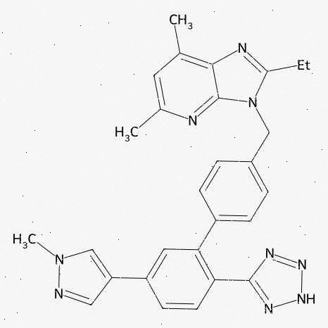 CCc1nc2c(C)cc(C)nc2n1Cc1ccc(-c2cc(-c3cnn(C)c3)ccc2-c2nn[nH]n2)cc1